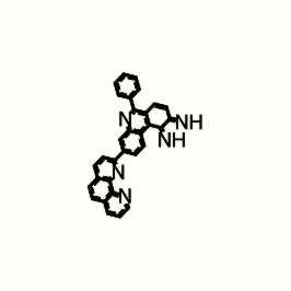 N=C1C=Cc2c(-c3ccccc3)nc3cc(-c4ccc5ccc6cccnc6c5n4)ccc3c2C1=N